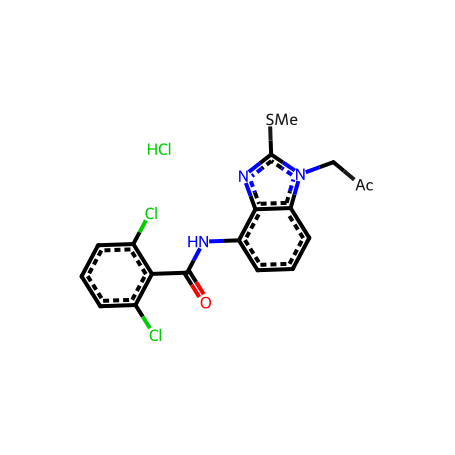 CSc1nc2c(NC(=O)c3c(Cl)cccc3Cl)cccc2n1CC(C)=O.Cl